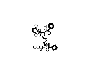 O=C(N[C@@H](CSSC[C@H](NC(=O)c1ccccc1)C(=O)ON1C(=O)CCC1=O)C(=O)O)c1ccccc1